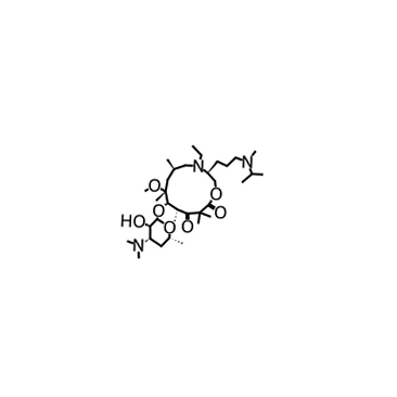 CCN1C[C@H](C)C[C@@](C)(OC)[C@H](O[C@@H]2O[C@H](C)C[C@H](N(C)C)[C@H]2O)[C@@H](C)C(=O)C(C)(C)C(=O)OC[C@@H]1CCCN(C)C(C)C